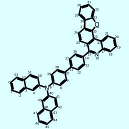 c1ccc2cc(N(c3ccc(-c4ccc(-c5nc6ccccc6c6c5ccc5c7ccccc7oc56)cc4)cc3)c3ccc4ccccc4c3)ccc2c1